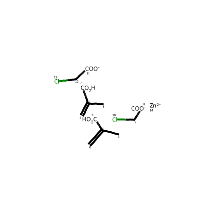 C=C(C)C(=O)O.C=C(C)C(=O)O.O=C([O-])CCl.O=C([O-])CCl.[Zn+2]